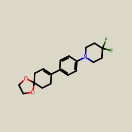 FC1(F)CCN(c2ccc(C3=CCC4(CC3)OCCO4)cc2)CC1